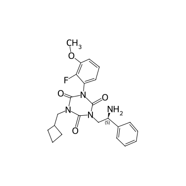 COc1cccc(-n2c(=O)n(CC3CCC3)c(=O)n(C[C@@H](N)c3ccccc3)c2=O)c1F